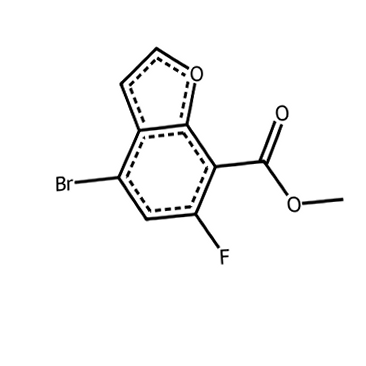 COC(=O)c1c(F)cc(Br)c2ccoc12